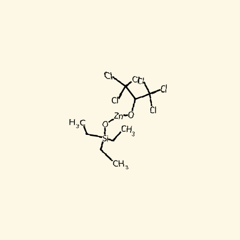 CC[Si](CC)(CC)[O][Zn][O]C(C(Cl)(Cl)Cl)C(Cl)(Cl)Cl